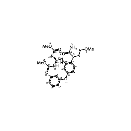 COCCN(C(N)=O)c1ccc(Oc2ccccc2)cc1NC(=NC(=O)OC)NC(=O)OC